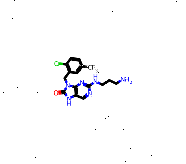 NCCCNc1ncc2[nH]c(=O)n(Cc3cc(C(F)(F)F)ccc3Cl)c2n1